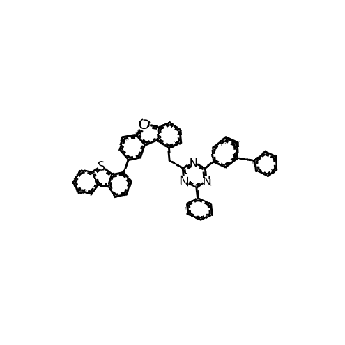 c1ccc(-c2cccc(-c3nc(Cc4cccc5oc6ccc(-c7cccc8c7sc7ccccc78)cc6c45)nc(-c4ccccc4)n3)c2)cc1